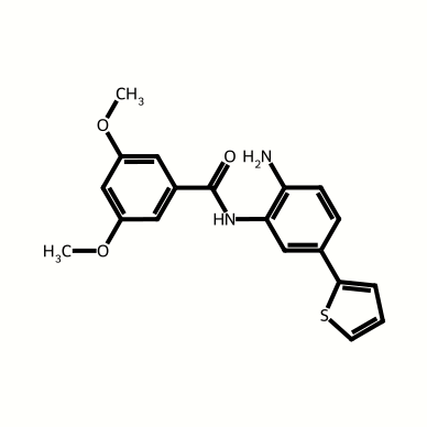 COc1cc(OC)cc(C(=O)Nc2cc(-c3cccs3)ccc2N)c1